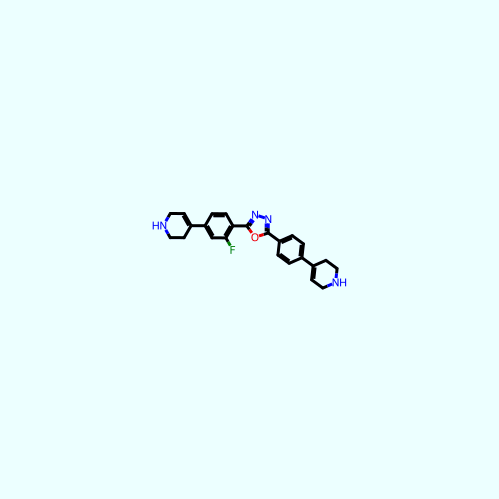 Fc1cc(C2=CCNCC2)ccc1-c1nnc(-c2ccc(C3=CCNCC3)cc2)o1